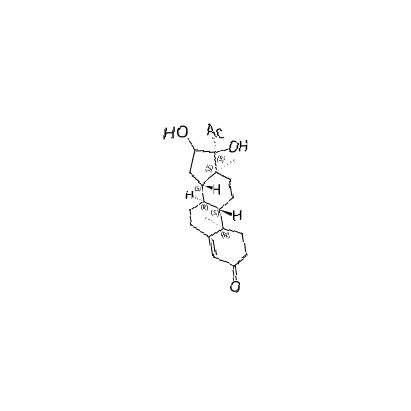 CC(=O)[C@@]1(O)C(O)C[C@H]2[C@@H]3CCC4=CC(=O)CC[C@]4(C)[C@H]3CC[C@@]21C